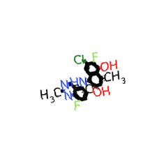 Cc1ncc2c(N[C@H]3c4cc(Cl)c(F)c(O)c4[C@H](C)C[C@]3(O)C(F)(F)F)ccc(F)c2n1